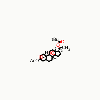 CC(=O)OC1CC[C@@]2(CO)C(CC[C@@H]3[C@@H]2CC[C@]2(C)[C@@H](C(C)OC(=O)C(C)(C)C)CC[C@@]32O)C1